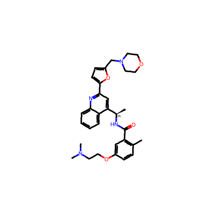 Cc1ccc(OCCN(C)C)cc1C(=O)N[C@H](C)c1cc(-c2ccc(CN3CCOCC3)o2)nc2ccccc12